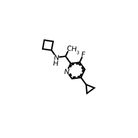 CC(NC1CCC1)c1ncc(C2CC2)cc1F